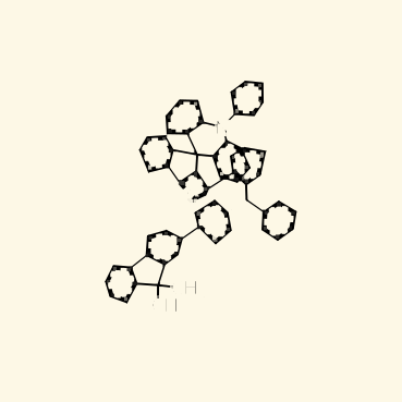 CC1(C)c2ccccc2-c2ccc(-c3ccc([C@@H](c4ccccc4)c4ccccc4-c4cccc5c4C4(c6ccccc6-5)c5ccccc5N(c5ccccc5)c5ccccc54)cc3)cc21